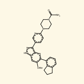 COc1cc2[nH]nc(-c3ccc(N4CCN(C(N)=O)CC4)nc3)c2nc1-c1cccc2c1CCC2